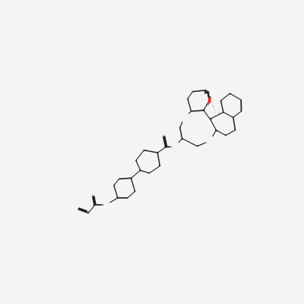 C=CC(=O)OC1CCC(C2CCC(C(=O)OC3COC4CCC5CCCCC5C4C4C(CCC5CCCC[C@@H]54)OC3)CC2)CC1